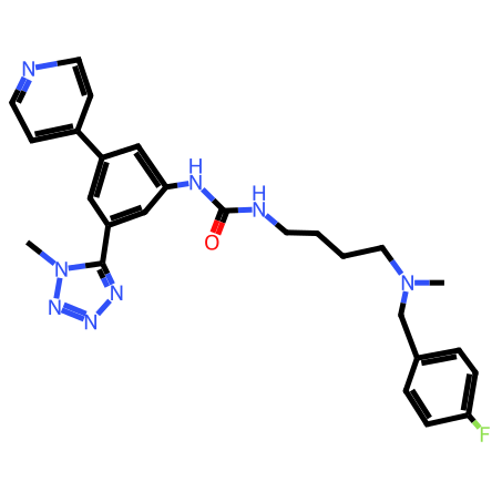 CN(CCCCNC(=O)Nc1cc(-c2ccncc2)cc(-c2nnnn2C)c1)Cc1ccc(F)cc1